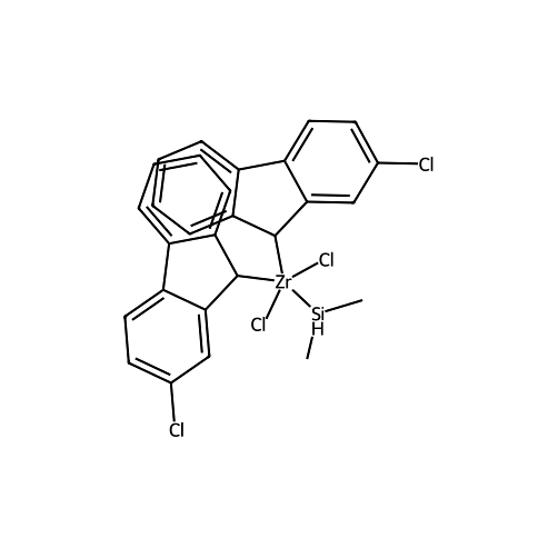 C[SiH](C)[Zr]([Cl])([Cl])([CH]1c2ccccc2-c2ccc(Cl)cc21)[CH]1c2ccccc2-c2ccc(Cl)cc21